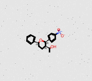 CC(O)[C@H]1CC[C@@H](c2ccccc2)O[C@H]1c1ccc([N+](=O)[O-])cc1